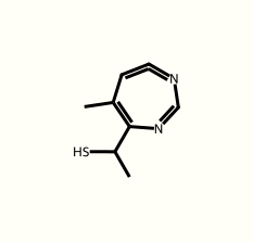 CC1=C(C(C)S)N=CN=C=C1